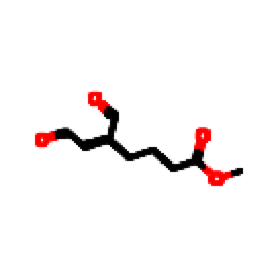 COC(=O)CCCC(C=O)=CC=O